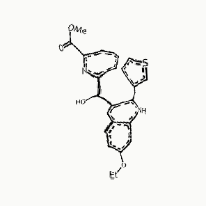 CCOc1ccc2c(C(O)c3cccc(C(=O)OC)n3)c(-c3ccsc3)[nH]c2c1